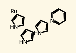 [Ru].c1cc[nH]c1.c1cc[nH]c1.c1cc[nH]c1.c1ccncc1